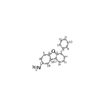 Nc1ccc2oc3c(-c4ccccc4)cccc3c2c1